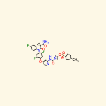 Cc1ccc(S(=O)(=O)OC2CN(C(=O)Nc3cc(Oc4cc(F)c(N(C(=O)C5(C(N)=O)CC5)c5ccc(F)cc5)cc4F)ccn3)C2)cc1